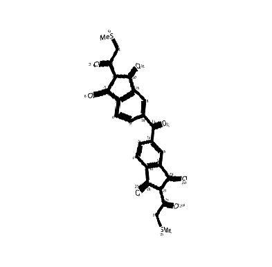 CSCC(=O)C1C(=O)c2ccc(C(=O)c3ccc4c(c3)C(=O)C(C(=O)CSC)C4=O)cc2C1=O